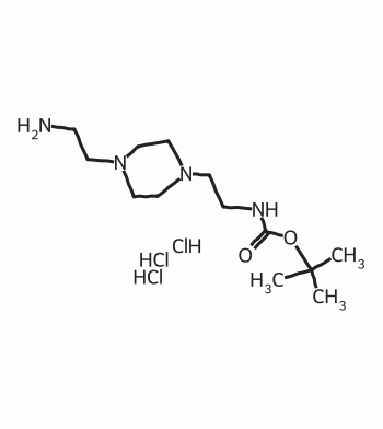 CC(C)(C)OC(=O)NCCN1CCN(CCN)CC1.Cl.Cl.Cl